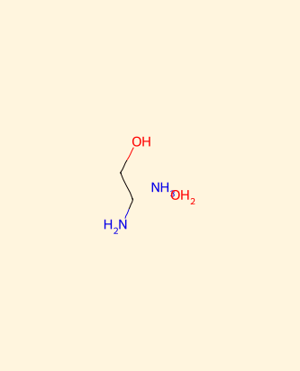 N.NCCO.O